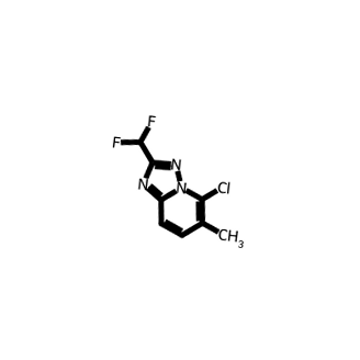 Cc1ccc2nc(C(F)F)nn2c1Cl